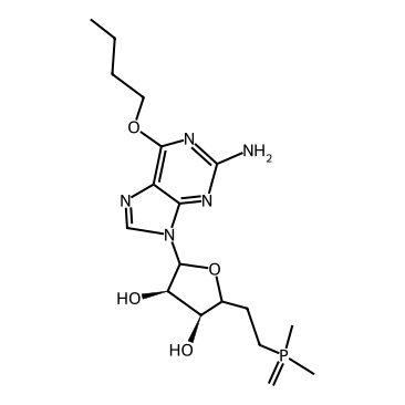 C=P(C)(C)CCC1OC(n2cnc3c(OCCCC)nc(N)nc32)[C@H](O)[C@@H]1O